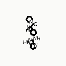 O=C(c1noc2cc(Nc3n[nH]c4cccnc34)ccc12)N1CCCCC1